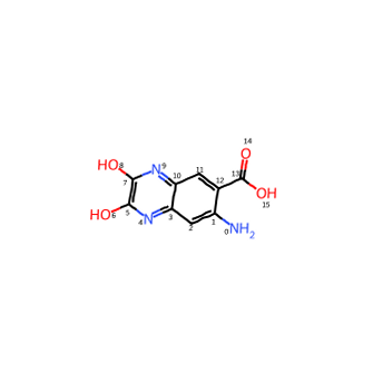 Nc1cc2nc(O)c(O)nc2cc1C(=O)O